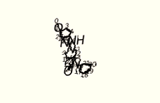 COc1ccc2[nH]c(N3CCC4(CC3)CN(c3ccccc3)C(=O)O4)nc2c1